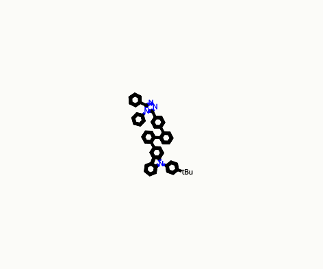 CC(C)(C)c1ccc(-n2c3ccccc3c3cc(-c4ccccc4-c4ccccc4-c4ccc(-c5nnc(-c6ccccc6)n5-c5ccccc5)cc4)ccc32)cc1